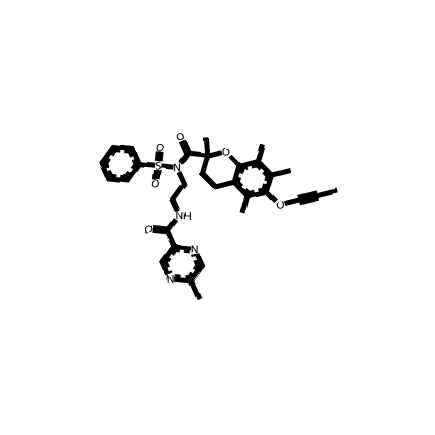 CC#COc1c(C)c(C)c2c(c1C)CCC(C)(C(=O)N(CCNC(=O)c1cnc(C)cn1)S(=O)(=O)c1ccccc1)O2